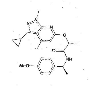 COc1ccc([C@H](C)NC(=O)[C@@H](C)Oc2cc(C)c3c(C4CC4)nn(C)c3n2)cc1